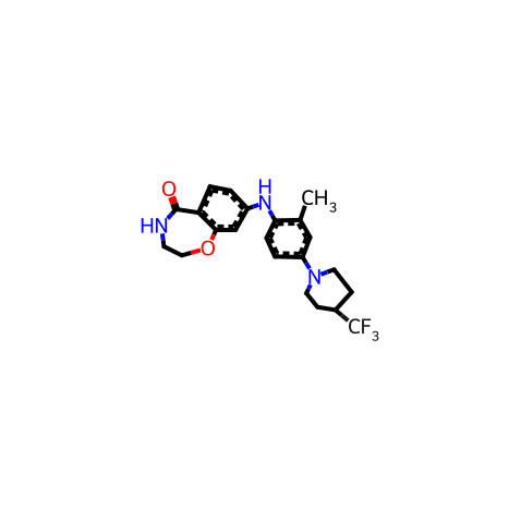 Cc1cc(N2CCC(C(F)(F)F)CC2)ccc1Nc1ccc2c(c1)OCCNC2=O